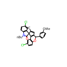 CCCCN1C(=O)C2(C(C#N)=CC3=C2c2cc(Cl)ccc2OC3c2cccc(OC)c2)c2cc(Cl)ccc21